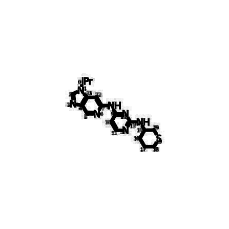 CC(C)n1cnc2cnc(Nc3ccnc(NC4CCCSC4)n3)cc21